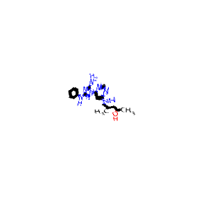 CC(O)CC(C)CNc1cc(-n2nc(Nc3ccccc3)nc2N)ncn1